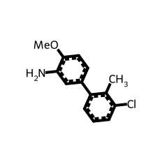 COc1ccc(-c2cccc(Cl)c2C)cc1N